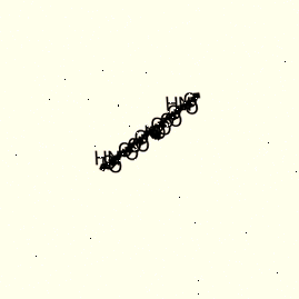 CCCOC(=O)NCCCOC(=O)COCC(=O)OCCN(CCOC(=O)COCC(=O)OCCCNC(=O)OCCC)CC(C)=O